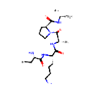 CC[C@H](C)[C@H](NC(=O)[C@@H]1CCCN1C(=O)[C@H](C)NC(=O)[C@H](CCCCN)NC(=O)[C@@H](N)CC(C)C)C(=O)O